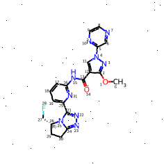 COc1nn(-c2cnccn2)cc1C(=O)Nc1cccc(-c2nnc3n2[C@@H](CF)CC3)n1